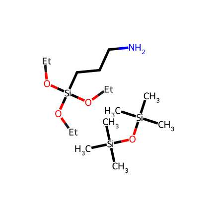 CCO[Si](CCCN)(OCC)OCC.C[Si](C)(C)O[Si](C)(C)C